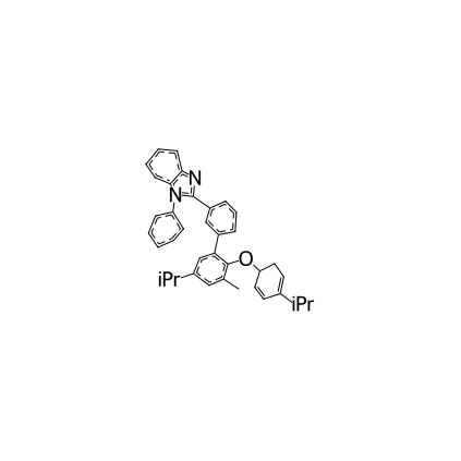 Cc1cc(C(C)C)cc(-c2cccc(-c3nc4ccccc4n3-c3ccccc3)c2)c1OC1C=CC(C(C)C)=CC1